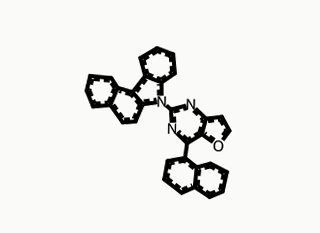 c1ccc2c(-c3nc(-n4c5ccccc5c5c6ccccc6ccc54)nc4ccoc34)cccc2c1